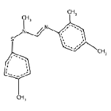 Cc1ccc(SN(C)C=Nc2ccc(C)cc2C)cc1